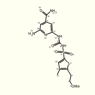 COCCc1sc(S(=O)(=O)NC(=O)Nc2cc(C(N)=O)cc(N)n2)cc1C